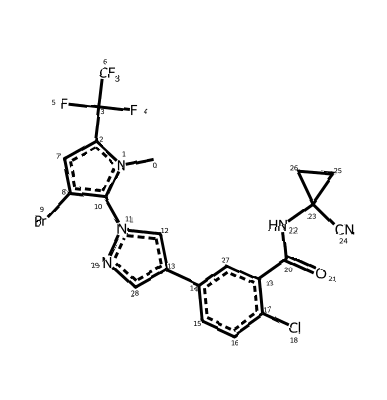 Cn1c(C(F)(F)C(F)(F)F)cc(Br)c1-n1cc(-c2ccc(Cl)c(C(=O)NC3(C#N)CC3)c2)cn1